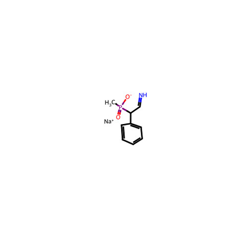 CP(=O)([O-])C(C=N)c1ccccc1.[Na+]